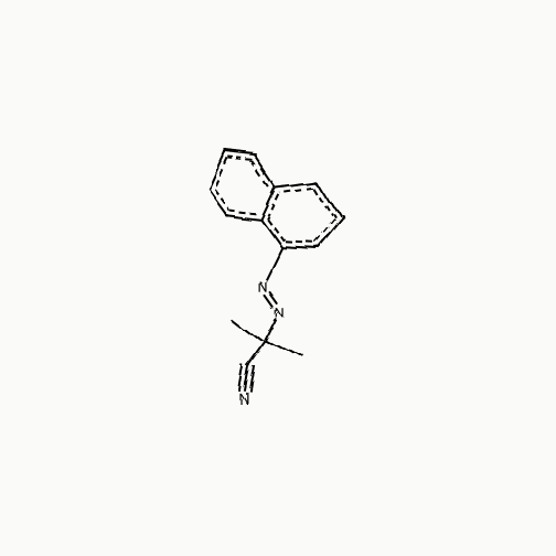 CC(C)(C#N)N=Nc1cccc2ccccc12